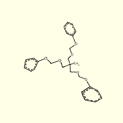 CC(COCOc1ccccc1)(COCOc1ccccc1)COCOc1ccccc1